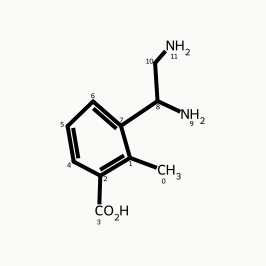 Cc1c(C(=O)O)cccc1C(N)CN